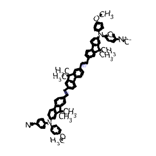 [C-]#[N+]c1ccc(N(c2ccc(OC)cc2)c2ccc3c(c2)C(C)(C)c2cc(/C=C/c4ccc5c(c4)C(C)(C)c4cc(/C=C/c6ccc7c(c6)C(C)(C)c6cc(N(c8ccc(C#N)cc8)c8ccc(OC)cc8)ccc6-7)ccc4-5)ccc2-3)cc1